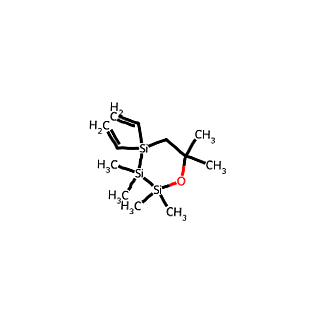 C=C[Si]1(C=C)CC(C)(C)O[Si](C)(C)[Si]1(C)C